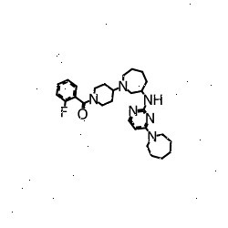 O=C(c1ccccc1F)N1CCC(N2CCCCC(Nc3nccc(N4CCCCCC4)n3)C2)CC1